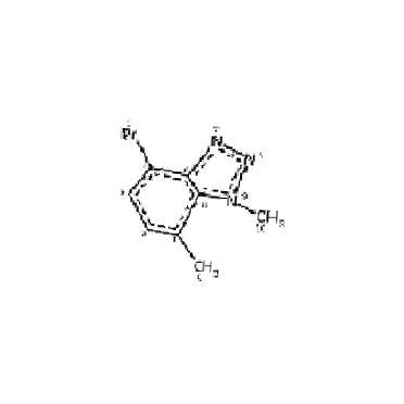 Cc1ccc(C(C)C)c2nnn(C)c12